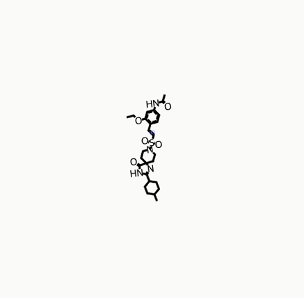 CCOc1cc(NC(C)=O)ccc1/C=C/S(=O)(=O)N1CCC2(CC1)N=C(C1CCC(C)CC1)NC2=O